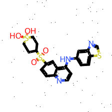 O=S(=O)(c1ccc2nccc(Nc3ccc4scnc4c3)c2c1)C1CCS(O)(O)CC1